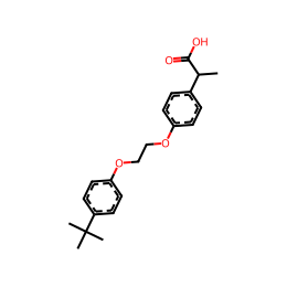 CC(C(=O)O)c1ccc(OCCOc2ccc(C(C)(C)C)cc2)cc1